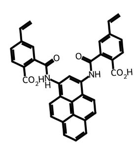 C=Cc1ccc(C(=O)O)c(C(=O)Nc2cc(NC(=O)c3cc(C=C)ccc3C(=O)O)c3ccc4cccc5ccc2c3c54)c1